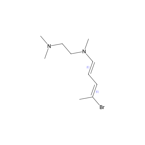 C/C(Br)=C\C=C\N(C)CCN(C)C